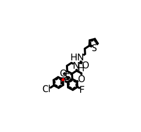 O=C(NCCc1cccs1)N1CCC[C@]2(S(=O)(=O)c3ccc(Cl)cc3)c3c(F)ccc(F)c3OC[C@H]12